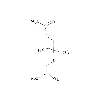 CC(C)COC(C)(C)CCC(N)=O